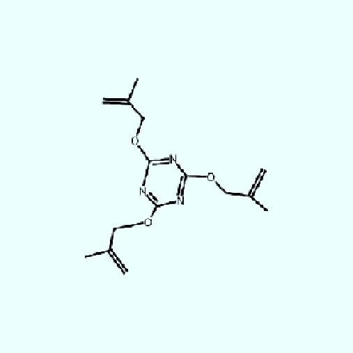 C=C(C)COc1nc(OCC(=C)C)nc(OCC(=C)C)n1